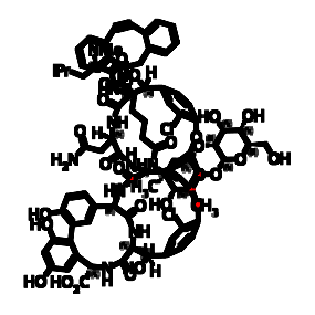 CN[C@H](CC(C)C)C(=O)N[C@H]1C(=O)N[C@@H](CC(N)=O)C(=O)N[C@H]2C(=O)N[C@H]3C(=O)N[C@H](C(=O)N[C@H](C(=O)O)c4cc(O)cc(O)c4-c4cc3ccc4O)[C@H](O)c3ccc(c(Cl)c3)Oc3cc2cc(c3O[C@@H]2O[C@H](CO)[C@@H](O)[C@H](O)[C@H]2O[C@H]2C[C@](C)(NC(=O)CCCCC(=O)N3Cc4ccccc4C#Cc4ccccc43)[C@H](O)[C@H](C)O2)Oc2ccc(cc2Cl)[C@H]1O